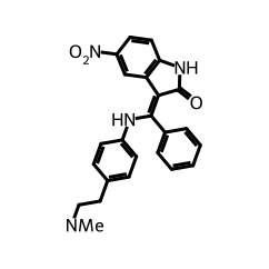 CNCCc1ccc(NC(=C2C(=O)Nc3ccc([N+](=O)[O-])cc32)c2ccccc2)cc1